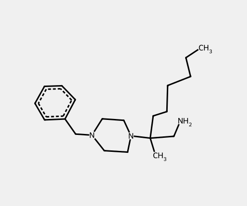 CCCCCCC(C)(CN)N1CCN(Cc2ccccc2)CC1